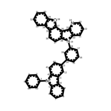 c1ccc(-n2c3ccccc3c3cc(-c4cccc(-n5c6cccnc6c6c7oc8ccccc8c7ccc65)c4)ccc32)cc1